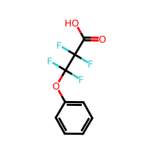 O=C(O)C(F)(F)C(F)(F)Oc1ccccc1